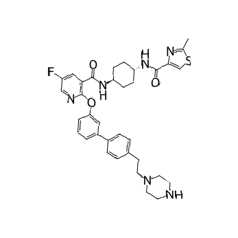 Cc1nc(C(=O)N[C@H]2CC[C@H](NC(=O)c3cc(F)cnc3Oc3cccc(-c4ccc(CCN5CCNCC5)cc4)c3)CC2)cs1